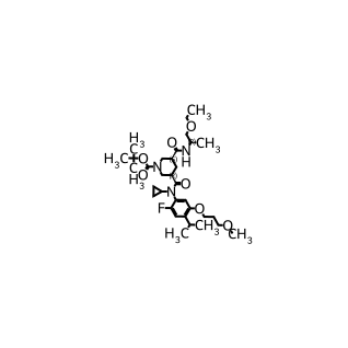 CCOC[C@@H](C)NC(=O)[C@H]1C[C@@H](C(=O)N(c2cc(OCCCOC)c(C(C)C)cc2F)C2CC2)CN(C(=O)OC(C)(C)C)C1